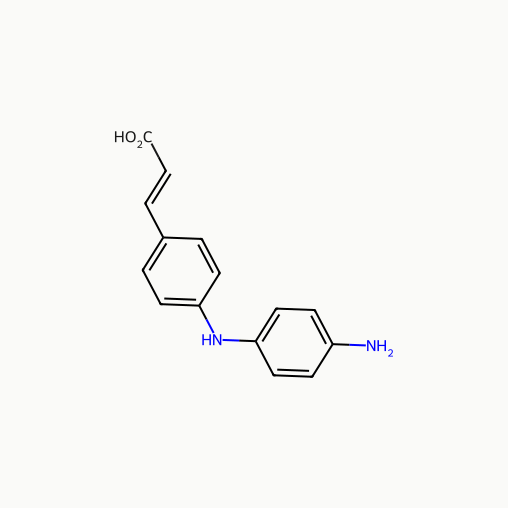 Nc1ccc(Nc2ccc(C=CC(=O)O)cc2)cc1